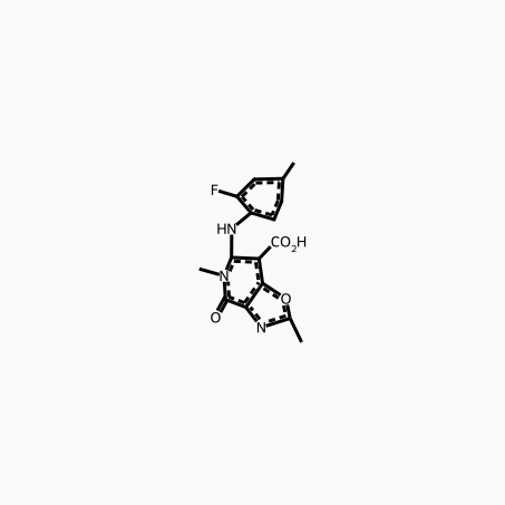 Cc1ccc(Nc2c(C(=O)O)c3oc(C)nc3c(=O)n2C)c(F)c1